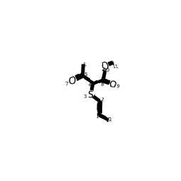 CC=CSC(C(C)=O)C(=O)OC